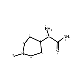 CN1CCC(N(N)C(N)=O)CC1